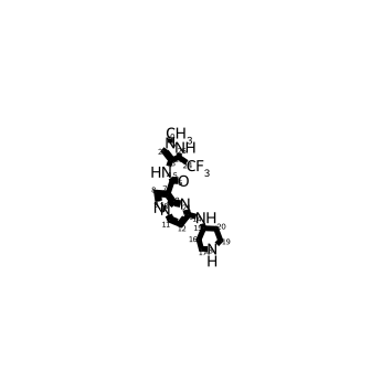 CN1C=C(NC(=O)c2cnn3ccc(NC4CCNCC4)nc23)C(C(F)(F)F)N1